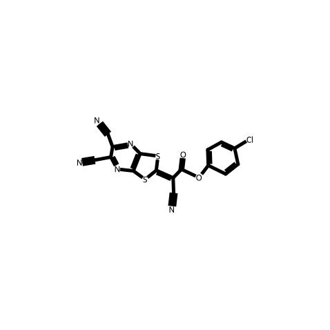 N#CC(C(=O)Oc1ccc(Cl)cc1)=C1Sc2nc(C#N)c(C#N)nc2S1